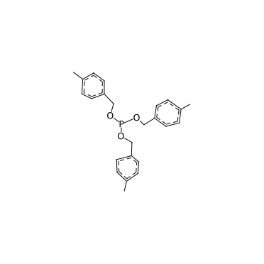 Cc1ccc(COP(OCc2ccc(C)cc2)OCc2ccc(C)cc2)cc1